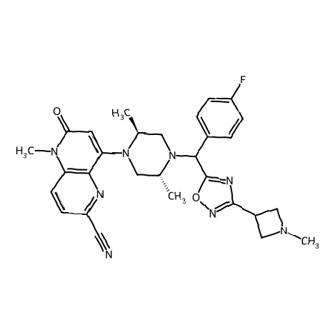 C[C@@H]1CN(c2cc(=O)n(C)c3ccc(C#N)nc23)[C@@H](C)CN1C(c1ccc(F)cc1)c1nc(C2CN(C)C2)no1